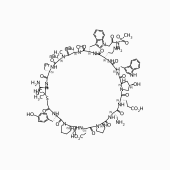 CCCC[C@H]1C(=O)N(C)[C@@H](CCCC)C(=O)N[C@@H](CC(C)C)C(=O)N[C@H](C(N)=O)C(C)(C)SCC(=O)N[C@@H](Cc2ccc(O)cc2)C(=O)N2CCCC[C@H]2C(=O)N[C@@H](CC(=O)O)C(=O)N2CCC[C@H]2C(=O)N[C@@H](CN)C(=O)N[C@@H](CCC(=O)O)C(=O)N2C[C@H](O)C[C@H]2C(=O)N[C@@H](Cc2c[nH]c3ccccc23)C(=O)N[C@@H](CCN)C(=O)N[C@@H](Cc2cn(CC(=O)NS(C)(=O)=O)c3ccccc23)C(=O)N1C